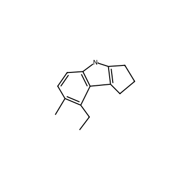 CCc1c(C)ccc2c1C1=C(CCC1)[N]2